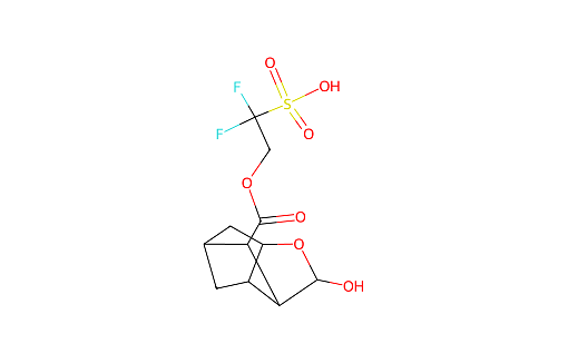 O=C(OCC(F)(F)S(=O)(=O)O)C1C2CC3OC(O)C1C3C2